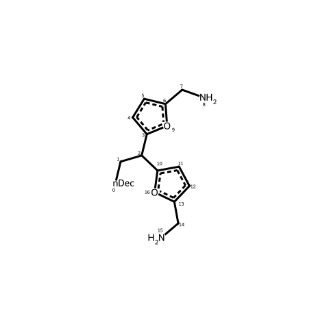 CCCCCCCCCCCC(c1ccc(CN)o1)c1ccc(CN)o1